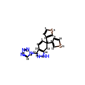 C1=CC(c2ccsc2)(c2ccsc2)Cc2[nH]nc(-n3cnnn3)c21